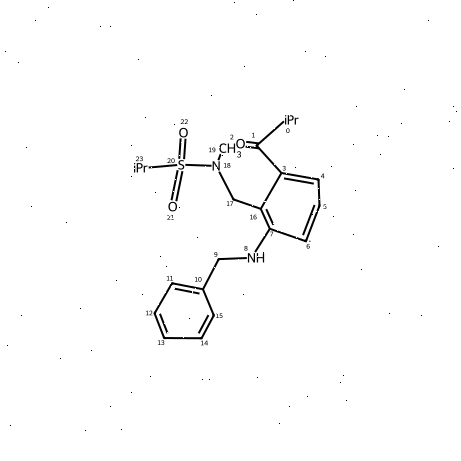 CC(C)C(=O)c1cc[c]c(NCc2ccccc2)c1CN(C)S(=O)(=O)C(C)C